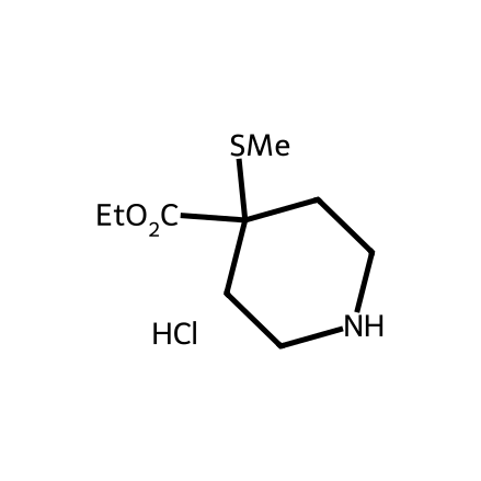 CCOC(=O)C1(SC)CCNCC1.Cl